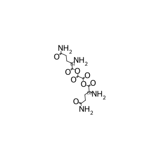 NC(=O)CC[C@H](N)C(=O)OC(=O)C(=O)OC(=O)[C@@H](N)CCC(N)=O